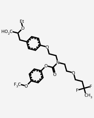 CCOC(Cc1ccc(OCCN(CCOCCC(C)(F)F)C(=O)Oc2ccc(OC(F)(F)F)cc2)cc1)C(=O)O